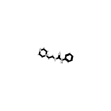 O=C(Nc1c[c]ccc1)OCCN1CCOCC1